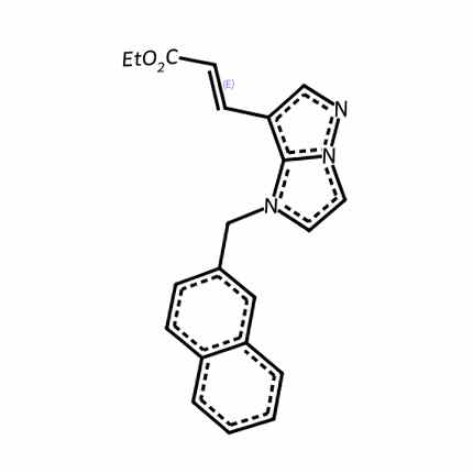 CCOC(=O)/C=C/c1cnn2ccn(Cc3ccc4ccccc4c3)c12